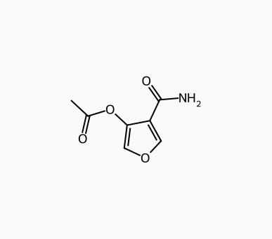 CC(=O)Oc1cocc1C(N)=O